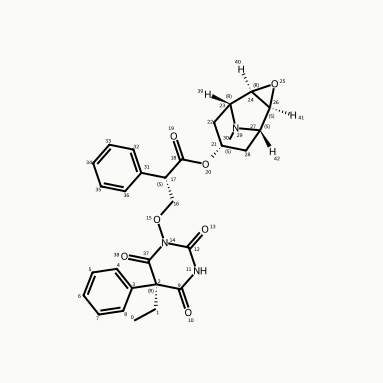 CC[C@@]1(c2ccccc2)C(=O)NC(=O)N(OC[C@@H](C(=O)O[C@@H]2C[C@@H]3[C@H]4O[C@H]4[C@H](C2)N3C)c2ccccc2)C1=O